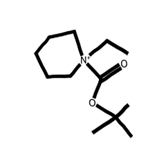 CC[N+]1(C(=O)OC(C)(C)C)CCCCC1